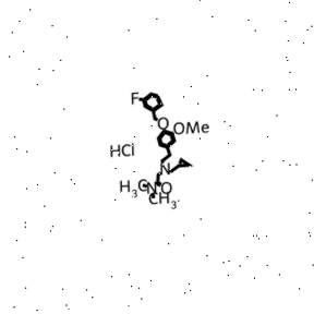 COc1cc(CCN(CC(=O)N(C)C)CC2CC2)ccc1OCc1cccc(F)c1.Cl